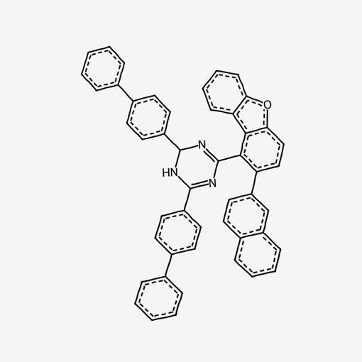 c1ccc(-c2ccc(C3=NC(c4c(-c5ccc6ccccc6c5)ccc5oc6ccccc6c45)=NC(c4ccc(-c5ccccc5)cc4)N3)cc2)cc1